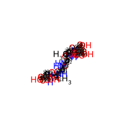 Cc1ccc(C(=O)Nc2cccc3cc(S(=O)(=O)O)cc(S(=O)(=O)O)c23)cc1NC(=O)c1cccc(NC(=O)Nc2cccc(C(=O)Nc3cc(C(=O)Nc4ccc(S(=O)(=O)O)c5cc(S(=O)(=O)O)cc(S(=O)(=O)O)c45)ccc3C)c2)c1